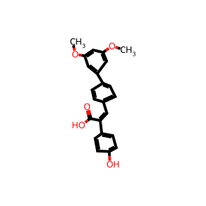 COc1cc(OC)cc(-c2ccc(C=C(C(=O)O)c3ccc(O)cc3)cc2)c1